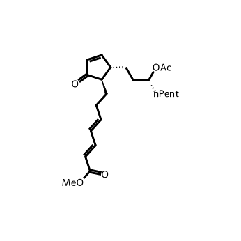 CCCCC[C@H](CC[C@H]1C=CC(=O)[C@@H]1CCC=CC=CC(=O)OC)OC(C)=O